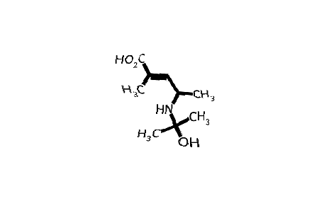 CC(=CC(C)NC(C)(C)O)C(=O)O